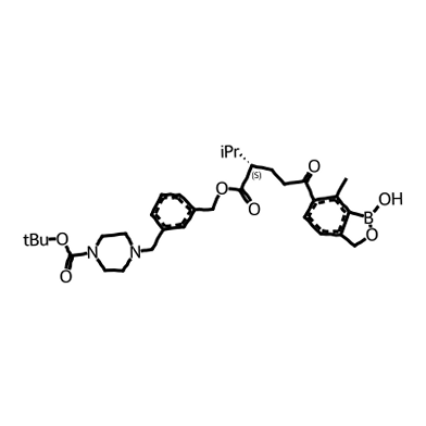 Cc1c(C(=O)CC[C@H](C(=O)OCc2cccc(CN3CCN(C(=O)OC(C)(C)C)CC3)c2)C(C)C)ccc2c1B(O)OC2